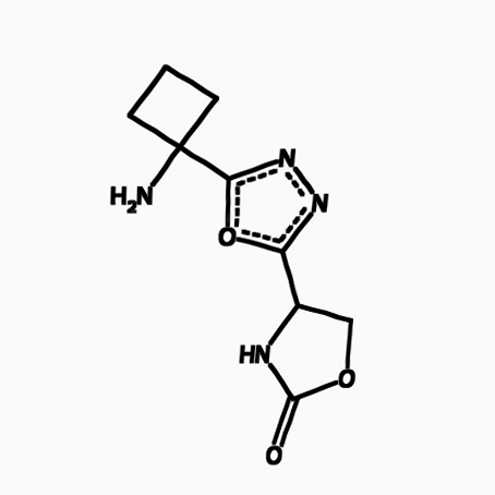 NC1(c2nnc(C3COC(=O)N3)o2)CCC1